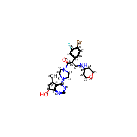 C[C@@H]1C[C@H](O)c2ncnc(N3CCN(C(=O)[C@H](CNC4CCOCC4)c4ccc(Br)c(F)c4)CC3)c21